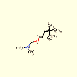 CN(C)COCCCC(C)(C)C